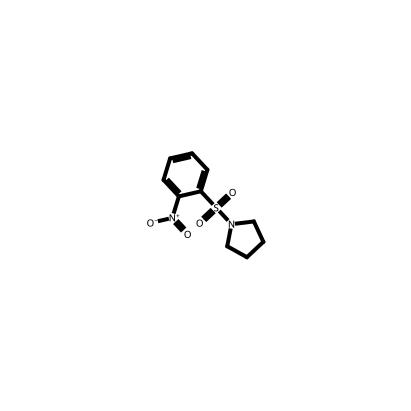 O=[N+]([O-])c1ccccc1S(=O)(=O)N1CCCC1